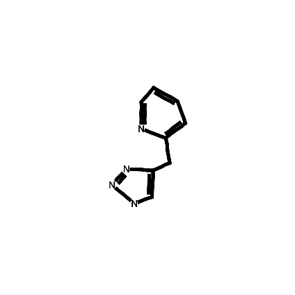 C1=C(Cc2ccccn2)N=N[N]1